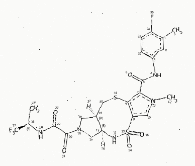 Cc1cc(NC(=O)c2c3c(cn2C)S(=O)(=O)N[C@H]2CN(C(=O)C(=O)N[C@H](C)C(F)(F)F)C[C@H]2CS3)ccc1F